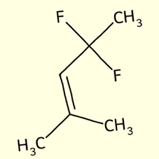 CC(C)=CC(C)(F)F